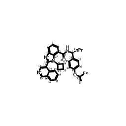 CCC[C@H](NC(=O)c1cccc2nc(-c3cncc4ccccc34)n(C3CCC3)c12)c1ccc(OC(F)F)cc1